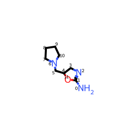 NC1=NCC(CN2CCCC2)O1